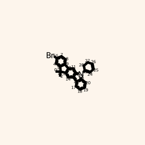 CC1(C)c2cc(Br)ccc2-c2cc3c(cc21)c1ccccc1n3C1=CC=CCC1